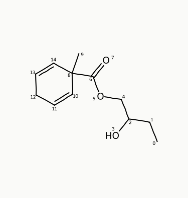 CCC(O)COC(=O)C1(C)C=CCC=C1